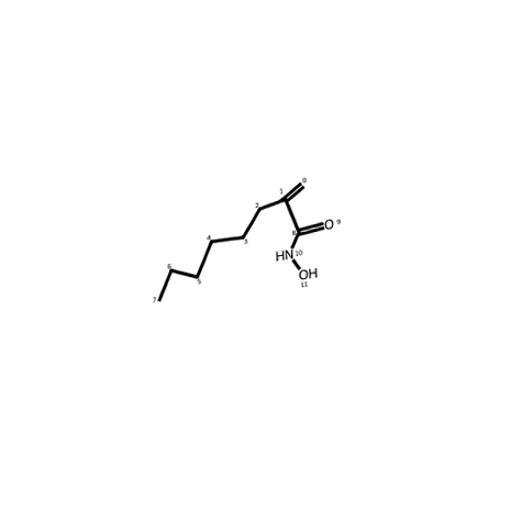 C=C(CCCCCC)C(=O)NO